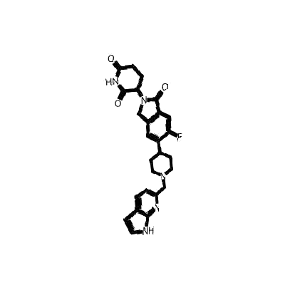 O=C1CCC(N2Cc3cc(C4CCN(Cc5ccc6cc[nH]c6n5)CC4)c(F)cc3C2=O)C(=O)N1